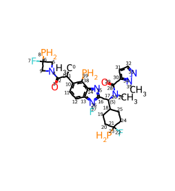 C[C@H](C(=O)N1CC(F)(P)C1)c1ccc2c(nc([C@H](C3CCC(F)(P)CC3)N(C)C(=O)c3ccnn3C)n2F)c1P